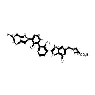 Cc1c(-c2nc3cc(CN4CC(C(=O)O)C4)cc(C#N)c3o2)cccc1-c1cccc(-n2cc3c(n2)CN(C(C)C)CC3)c1Cl